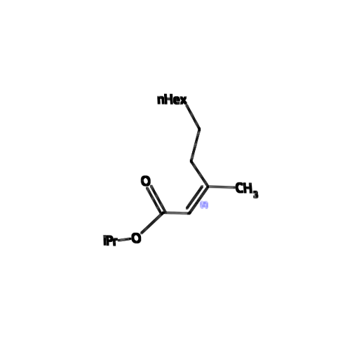 CCCCCCCC/C(C)=C\C(=O)OC(C)C